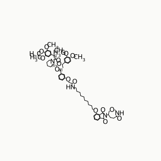 CC[C@H](C(=O)N1CCCC[C@H]1C(=O)O[C@H](CCc1ccc(OC)c(OC)c1)c1cccc(OCC(=O)NCCCCCCCCCCOc2cccc3c2C(=O)N(C2CCC(=O)NCOC2)C3=O)c1)c1cc(OC)c(OC)c(OC)c1